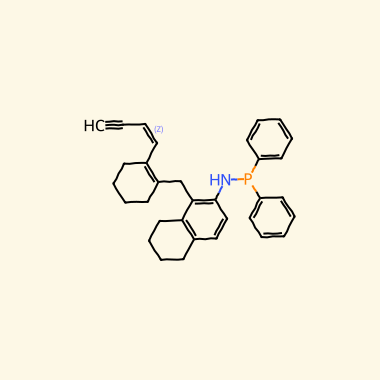 C#C/C=C\C1=C(Cc2c(NP(c3ccccc3)c3ccccc3)ccc3c2CCCC3)CCCC1